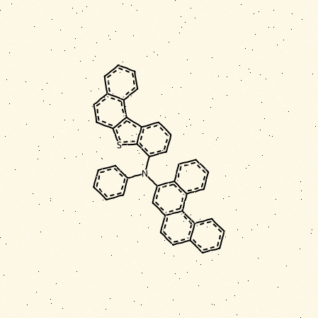 c1ccc(N(c2cc3ccc4ccccc4c3c3ccccc23)c2cccc3c2sc2ccc4ccccc4c23)cc1